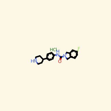 Cl.O=C(Nc1ccc(C2CCNCC2)cc1)N1Cc2ccc(F)cc2C1